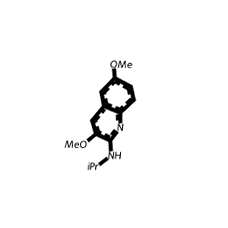 COc1ccc2nc(NC(C)C)c(OC)cc2c1